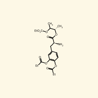 CCOC(=O)OC(C)[C@H](C)OC(=O)[C@@H](N)Cc1ccc(OC(=O)CC)c(OC(=O)CC)c1